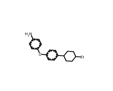 CCC1CCC(c2ccc(Oc3ccc(N)cc3)cc2)CC1